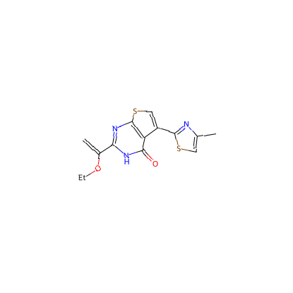 C=C(OCC)c1nc2scc(-c3nc(C)cs3)c2c(=O)[nH]1